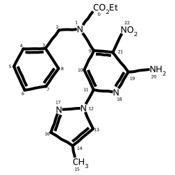 CCOC(=O)N(Cc1ccccc1)c1cc(-n2cc(C)cn2)nc(N)c1[N+](=O)[O-]